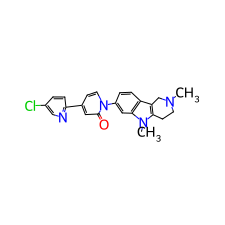 CN1CCc2c(c3ccc(-n4ccc(-c5ccc(Cl)cn5)cc4=O)cc3n2C)C1